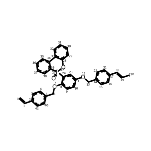 C=Cc1ccc(COc2ccc(OCc3ccc(C=CI)cc3)cc2P2(=O)Oc3ccccc3-c3ccccc32)cc1